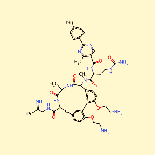 Cc1nc(-c2ccc(C(C)(C)C)cc2)ncc1C(=O)NC(CCNC(N)=O)C(=O)N(C)C1C(=O)NC(C)C(=O)NC(C(=O)NCC(=N)C(C)C)Cc2ccc(OCCN)c(c2)-c2cc1ccc2OCCN